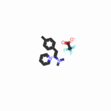 Cc1ccc(C=C(N(C)C)[n+]2ccccc2)cc1.O=C([O-])C(F)(F)F